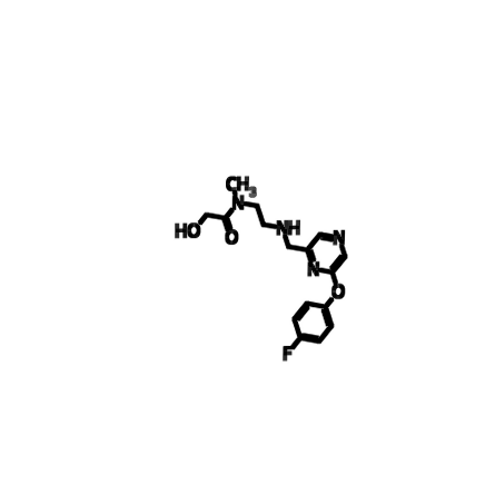 CN(CCNCc1cncc(Oc2ccc(F)cc2)n1)C(=O)CO